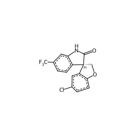 O=C1Nc2cc(C(F)(F)F)ccc2[C@@]12COc1ccc(Cl)cc12